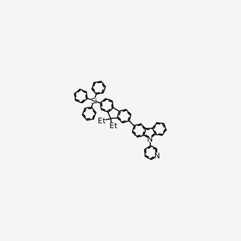 CCC1(CC)c2cc(-c3ccc4c(c3)c3ccccc3n4-c3cccnc3)ccc2-c2ccc([Si](c3ccccc3)(c3ccccc3)c3ccccc3)cc21